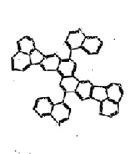 c1cc2c3c(cccc3c1)-c1cc3c(cc1-2)c(-c1ccnc2ccccc12)cc1c2cc4c(cc2c(-c2ccnc5ccccc25)cc31)-c1cccc2cccc-4c12